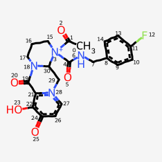 CC(=O)[N+]1(C(=O)NCc2ccc(F)cc2)CCCN2C(=O)c3c(O)c(=O)ccn3CC21